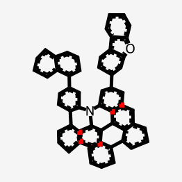 c1ccc(-c2ccc(-c3cccc4ccccc34)cc2N(c2cccc(-c3ccc4c(c3)oc3ccccc34)c2)c2ccccc2-c2cccc3cccc(-c4ccccc4)c23)cc1